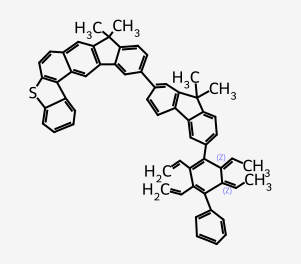 C=Cc1c(C=C)c(-c2ccc3c(c2)-c2ccc(-c4ccc5c(c4)-c4cc6c(ccc7sc8ccccc8c76)cc4C5(C)C)cc2C3(C)C)c(=C/C)/c(=C\C)c1-c1ccccc1